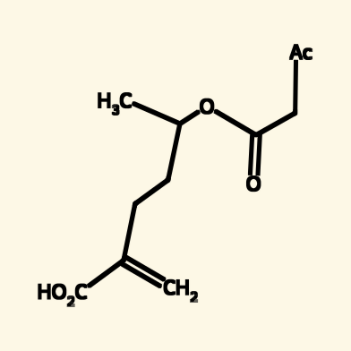 C=C(CCC(C)OC(=O)CC(C)=O)C(=O)O